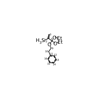 C=C([SiH3])C(OCC)(OCC)OCCc1ccccc1